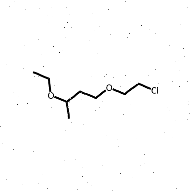 CCO[C](C)CCOCCCl